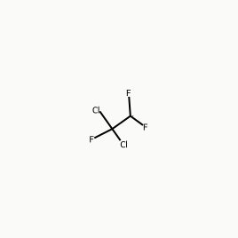 F[C](F)C(F)(Cl)Cl